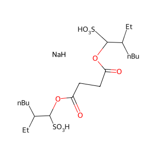 CCCCC(CC)C(OC(=O)CCC(=O)OC(C(CC)CCCC)S(=O)(=O)O)S(=O)(=O)O.[NaH]